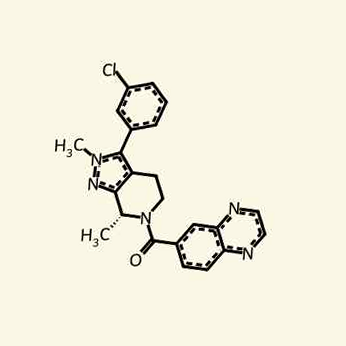 C[C@@H]1c2nn(C)c(-c3cccc(Cl)c3)c2CCN1C(=O)c1ccc2nccnc2c1